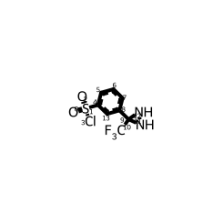 O=S(=O)(Cl)c1cccc(C2(C(F)(F)F)NN2)c1